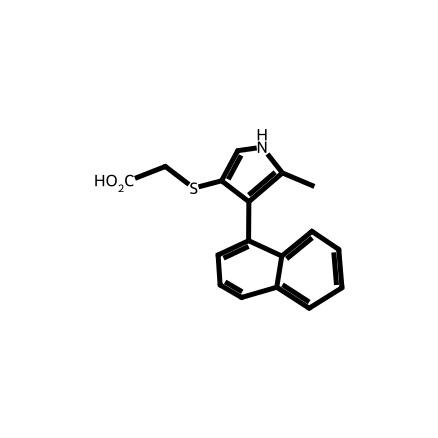 Cc1[nH]cc(SCC(=O)O)c1-c1cccc2ccccc12